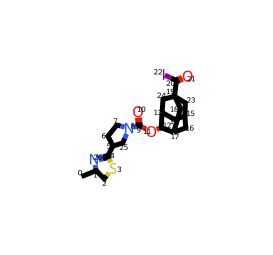 CC1CSC(C2CCN(C(=O)OC3C4CC5CC3CC(C(=O)I)(C5)C4)C2)=N1